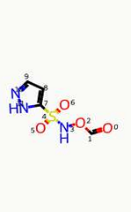 O=CONS(=O)(=O)c1ccn[nH]1